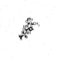 C=C[C@@H]1CC[C@]1(NC(=O)OC(C)(C)C)C(=O)NS(=O)(=O)C1CC1